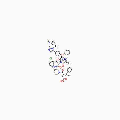 CC(NCc1ccccc1Oc1ccc(-c2cnc(CN(C)C)n2C)cc1)C(=O)N1C(C(=O)NC2(Cc3ccc(Cl)cc3)CCCN(C(=O)C(CC(=O)O)[C@@H]3CCc4ccccc43)C2)COC1(C)C